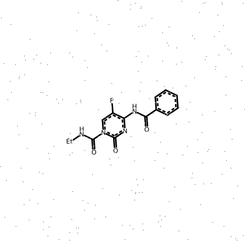 CCNC(=O)n1cc(F)c(NC(=O)c2ccccc2)nc1=O